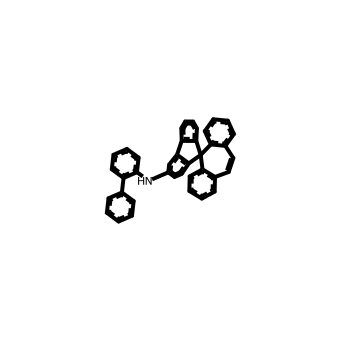 C1=Cc2ccccc2C2(c3ccccc31)c1ccccc1-c1cc(Nc3ccccc3-c3ccccc3)ccc12